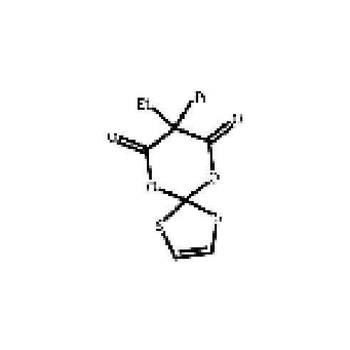 CCC1(C(C)C)C(=O)OC2(OC1=O)SC=CS2